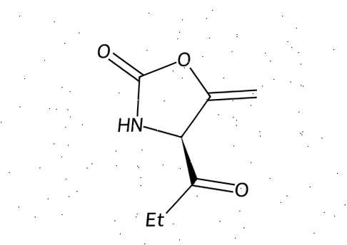 C=C1OC(=O)N[C@@H]1C(=O)CC